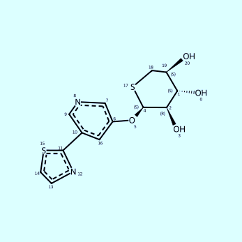 O[C@@H]1[C@@H](O)[C@@H](Oc2cncc(-c3nccs3)c2)SC[C@H]1O